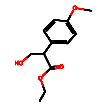 CCOC(=O)C(CO)c1ccc(OC)cc1